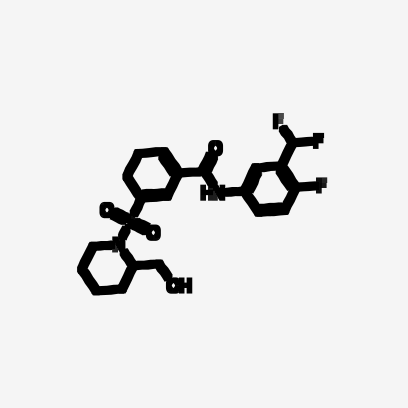 O=C(Nc1ccc(F)c(C(F)F)c1)C1=CCCC(S(=O)(=O)N2CCCCC2CO)=C1